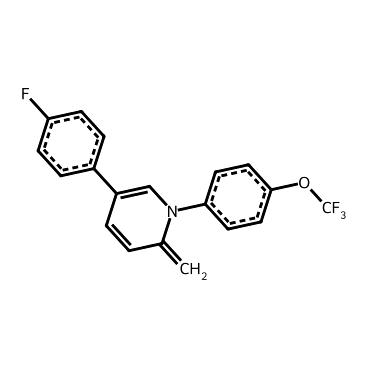 C=C1C=CC(c2ccc(F)cc2)=CN1c1ccc(OC(F)(F)F)cc1